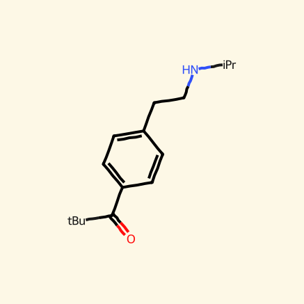 CC(C)NCCc1ccc(C(=O)C(C)(C)C)cc1